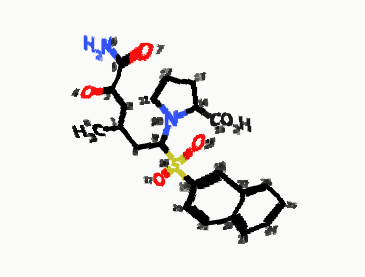 CC(CC(=O)C(N)=O)CC(N1CCCC1C(=O)O)S(=O)(=O)c1ccc2ccccc2c1